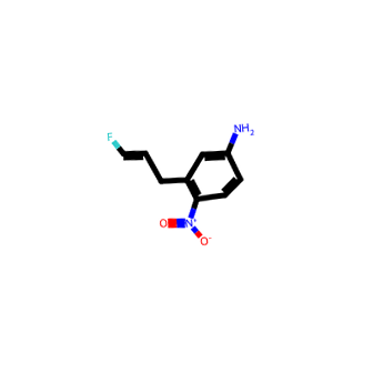 Nc1ccc([N+](=O)[O-])c(CC=CF)c1